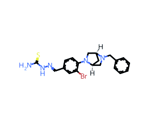 NC(=S)NN=Cc1ccc(N2C[C@@H]3C[C@H]2CN3Cc2ccccc2)c(Br)c1